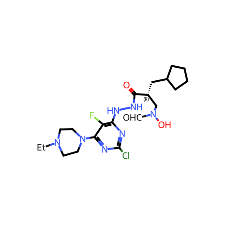 CCN1CCN(c2nc(Cl)nc(NNC(=O)[C@H](CC3CCCC3)CN(O)C=O)c2F)CC1